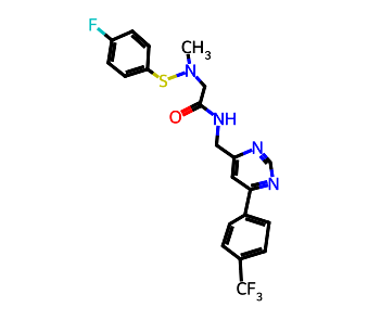 CN(CC(=O)NCc1cc(-c2ccc(C(F)(F)F)cc2)ncn1)Sc1ccc(F)cc1